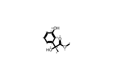 COC(=O)[C@](C)(O)c1cccc(O)c1